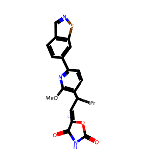 COc1nc(-c2ccc3cnsc3c2)ccc1C(/C=C1\OC(=O)NC1=O)C(C)C